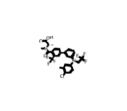 Cc1cc(N(CC(F)(F)F)c2cccc(-c3ccc(C(=O)N(C)[C@@H](C)C(=O)O)c(C(F)(F)F)c3)c2)ccc1Cl